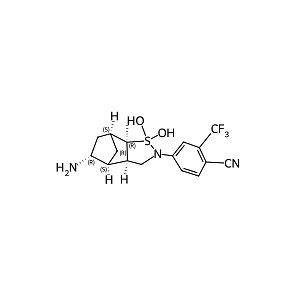 C[C@@]12[C@H]3C[C@H]([C@H](N)C3)[C@@H]1CN(c1ccc(C#N)c(C(F)(F)F)c1)S2(O)O